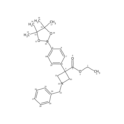 CCOC(=O)C1(c2ccc(B3OC(C)(C)C(C)(C)O3)cc2)CN(Cc2ccccc2)C1